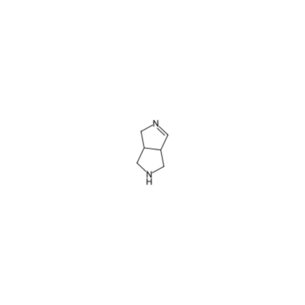 C1=NCC2CNCC12